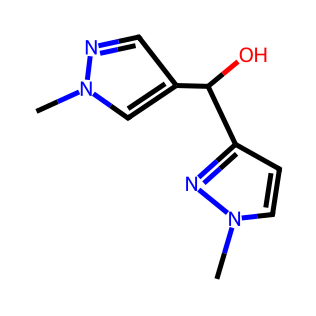 Cn1cc(C(O)c2ccn(C)n2)cn1